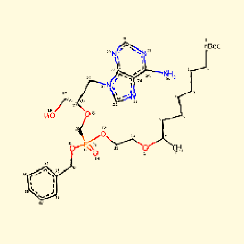 CCCCCCCCCCCCCCCCC(C)OCCO[P@@](=O)(CO[C@H](CO)Cn1cnc2c(N)ncnc21)OCc1ccccc1